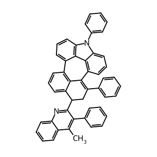 Cc1c(-c2ccccc2)c(C2CC(c3ccccc3)=C3c4c(cccc42)-c2cccc4c2c2c3cccc2n4-c2ccccc2)nc2ccccc12